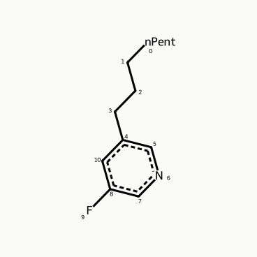 CCCCCCCCc1cncc(F)c1